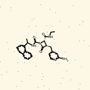 CCNC(=O)[C@@H]1[C@@H](Cc2ccnc(N)c2)C(=O)N1C(=O)NC(C)c1cccc2ccccc12